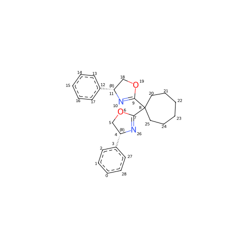 c1ccc([C@@H]2COC(C3(C4=N[C@H](c5ccccc5)CO4)CCCCCC3)=N2)cc1